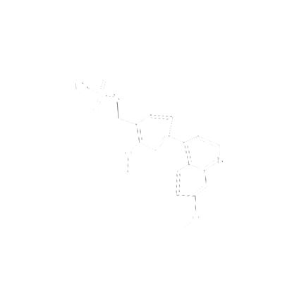 COc1ccc2c(-c3ccc(CNS(N)(=O)=O)c(OC)c3)ccnc2c1